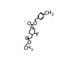 CCOC(=O)CC1CCN(C(=O)OCc2ccc(C)cc2)CC1F